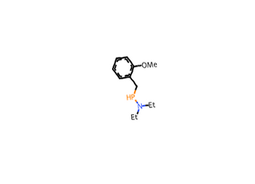 CCN(CC)PCc1ccccc1OC